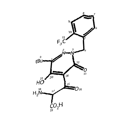 CC(C)(C)c1nn(Cc2ccccc2C(F)(F)F)c(=O)c(C(=O)C(N)C(=O)O)c1O